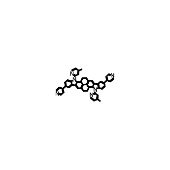 Cc1ccnc(-n2c3ccc(-c4ccncc4)cc3c3cc4c5c(c32)CCc2cc3c6cc(-c7ccncc7)ccc6n(-c6cc(C)ccn6)c3c(c2-5)CC4)c1